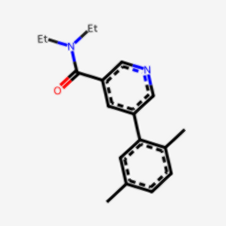 CCN(CC)C(=O)c1cncc(-c2cc(C)ccc2C)c1